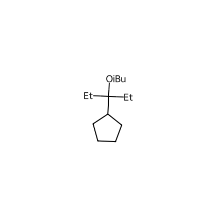 CCC(CC)(OCC(C)C)C1CCCC1